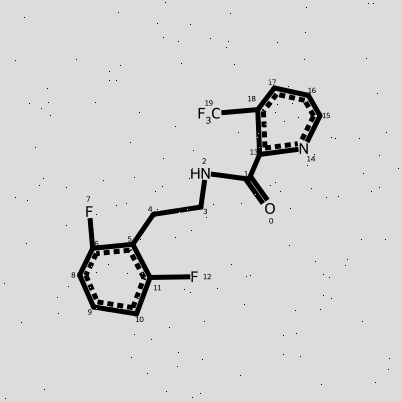 O=C(NCCc1c(F)cccc1F)c1ncccc1C(F)(F)F